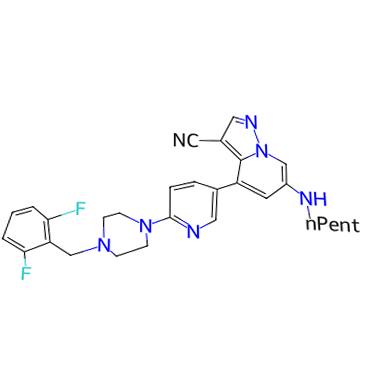 CCCCCNc1cc(-c2ccc(N3CCN(Cc4c(F)cccc4F)CC3)nc2)c2c(C#N)cnn2c1